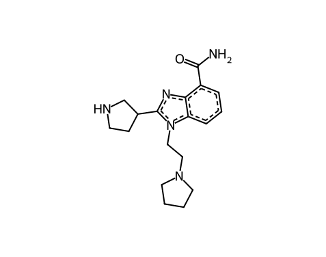 NC(=O)c1cccc2c1nc(C1CCNC1)n2CCN1CCCC1